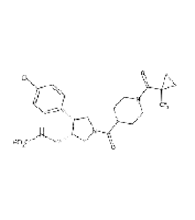 O=C(O)NC[C@H]1CN(C(=O)C2CCN(C(=O)C3(C(F)(F)F)CC3)CC2)C[C@H]1c1ccc(Cl)cc1